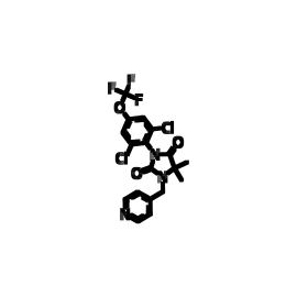 CC1(C)C(=O)N(c2c(Cl)cc(OC(F)(F)F)cc2Cl)C(=O)N1Cc1ccncc1